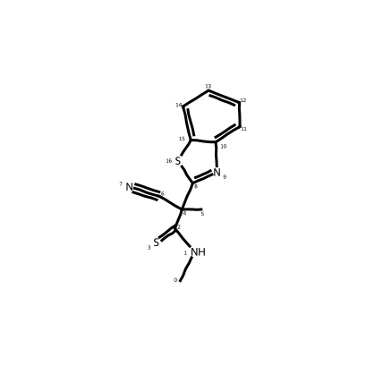 CNC(=S)C(C)(C#N)c1nc2ccccc2s1